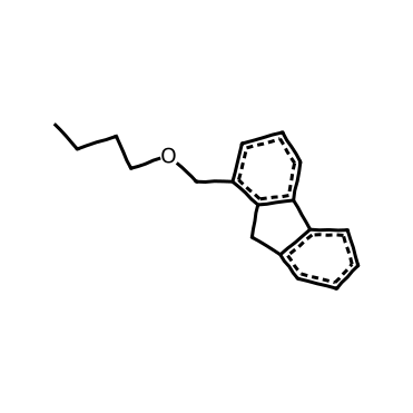 CCCCOCc1cccc2c1Cc1ccccc1-2